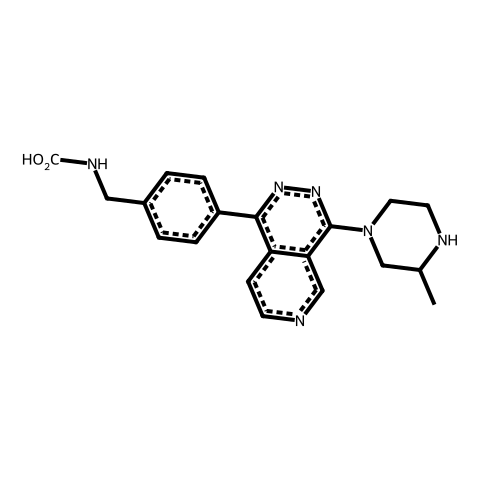 CC1CN(c2nnc(-c3ccc(CNC(=O)O)cc3)c3ccncc23)CCN1